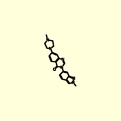 CN1CCN(c2ccc3c(=O)n(-c4ccc5cn(C)nc5c4)cnc3c2)CC1